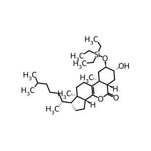 CC[Si](CC)(CC)O[C@@H]1C[C@]2(C)C3=C(OC(=O)[C@H]2C[C@H]1O)[C@@H]1CC[C@H]([C@H](C)CCCC(C)C)[C@@]1(C)CC3